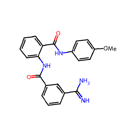 COc1ccc(NC(=O)c2ccccc2NC(=O)c2cccc(C(=N)N)c2)cc1